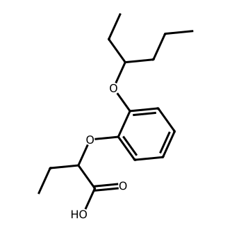 CCCC(CC)Oc1ccccc1OC(CC)C(=O)O